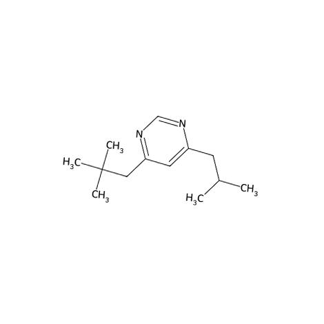 CC(C)Cc1cc(CC(C)(C)C)ncn1